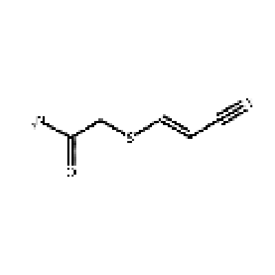 N#CC=CSCC(N)=O